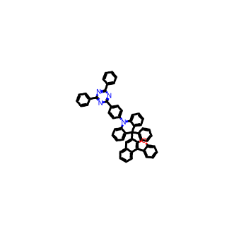 c1ccc(-c2nc(-c3ccccc3)nc(-c3ccc(N4c5ccccc5C(c5ccccc5)(c5cc6ccccc6c6c5oc5ccccc56)c5ccccc54)cc3)n2)cc1